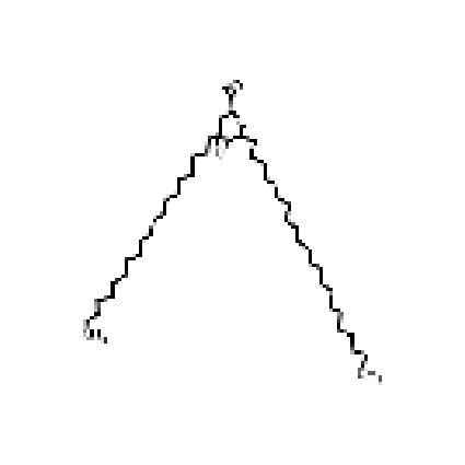 CCCCCCCCCCCCCCCCCCCCCCC(OC(CCCCCCCCCCCCCCCCCCCCCC)C1CO1)C1CO1